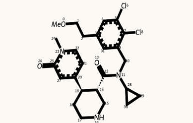 COCCc1cc(Cl)c(Cl)c(CN(C(=O)[C@@H]2CNCC[C@H]2c2ccn(C)c(=O)c2)C2CC2)c1